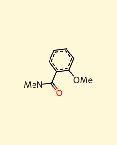 [CH2]NC(=O)c1ccccc1OC